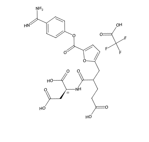 N=C(N)c1ccc(OC(=O)c2ccc(CC(CCC(=O)O)C(=O)N[C@@H](CC(=O)O)C(=O)O)o2)cc1.O=C(O)C(F)(F)F